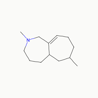 CC1CCC=C2CN(C)CCCC2C1